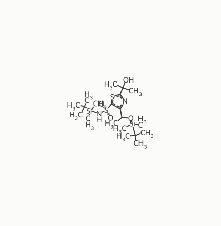 CC(O[Si](C)(C)C(C)(C)C)c1nc(C(C)(C)O)sc1S(=O)(=O)N[Si](C)(C)C(C)(C)C